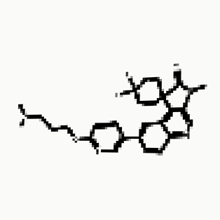 CN(C)CCCOc1ccc(-c2ccc3ncc4c(c3c2)C2(CCC(F)(F)CC2)C(=O)N4C)cn1